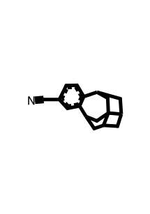 N#Cc1ccc2c(c1)C1CC3CC4CC2CC43C1